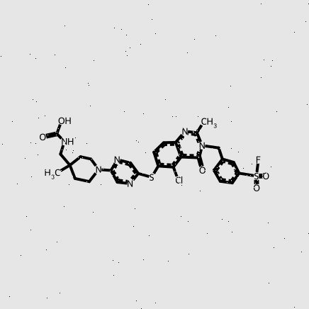 Cc1nc2ccc(Sc3cnc(N4CCC(C)(CNC(=O)O)CC4)cn3)c(Cl)c2c(=O)n1Cc1cccc(S(=O)(=O)F)c1